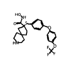 O=C(NO)C1(Sc2ccc(Oc3ccc(OC(F)(F)F)cc3)cc2)CCC2(CCNCC2)C1